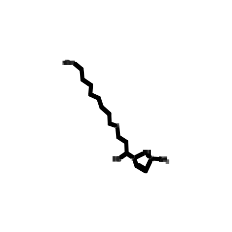 CCCCCCCCCCCCCCCCCCSCCC(O)N1C=CN(N)N1